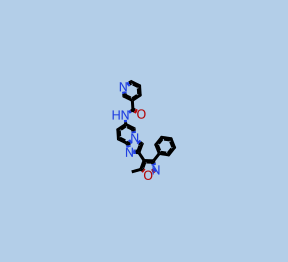 Cc1onc(-c2ccccc2)c1-c1cn2cc(NC(=O)c3cccnc3)ccc2n1